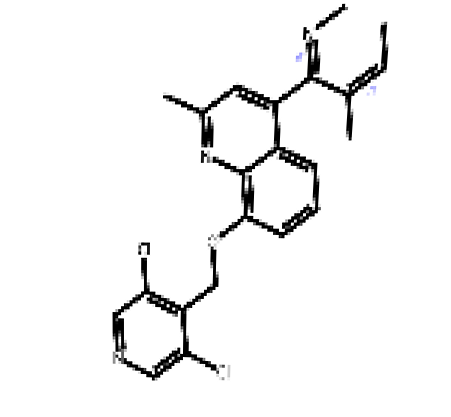 C/C=C(C)\C(=N/C)c1cc(C)nc2c(OCc3c(Cl)cncc3Cl)cccc12